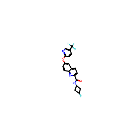 O=C(NC1CC(F)C1)c1ccc2cc(Oc3ccc(C(F)(F)F)cn3)ccc2n1